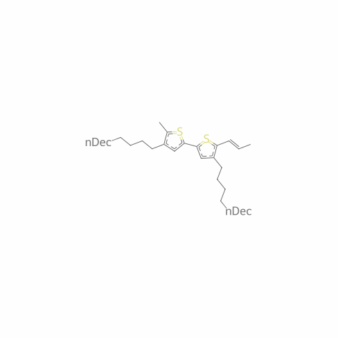 C/C=C/c1sc(-c2cc(CCCCCCCCCCCCCC)c(C)s2)cc1CCCCCCCCCCCCCC